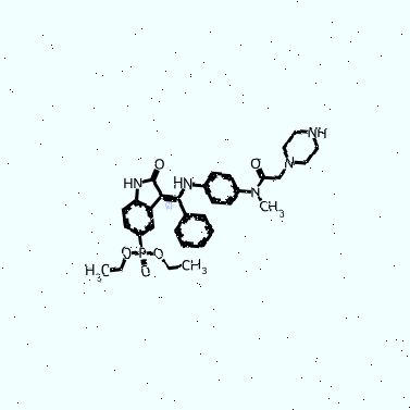 CCOP(=O)(OCC)c1ccc2c(c1)/C(=C(/Nc1ccc(N(C)C(=O)CN3CCNCC3)cc1)c1ccccc1)C(=O)N2